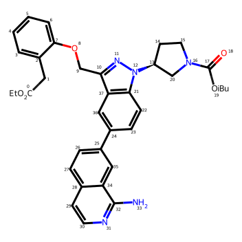 CCOC(=O)Cc1ccccc1OCc1nn([C@H]2CCN(C(=O)OCC(C)C)C2)c2ccc(-c3ccc4ccnc(N)c4c3)cc12